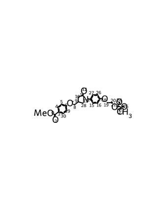 COC(=O)c1ccc(OCC2CC(=O)N(c3ccc(OCCOS(C)(=O)=O)cc3)C2)cc1